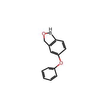 B1OCc2cc(Oc3ccccc3)ccc21